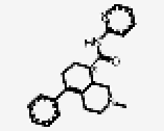 CN1CCC2=C(c3ccccc3)CC[C@@H](C(=O)Nc3ccccn3)C2C1